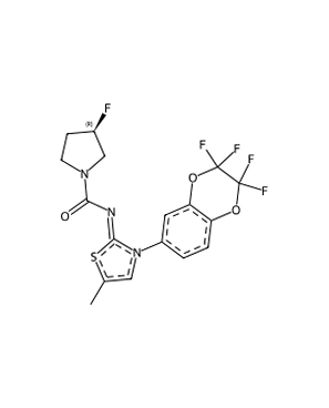 Cc1cn(-c2ccc3c(c2)OC(F)(F)C(F)(F)O3)c(=NC(=O)N2CC[C@@H](F)C2)s1